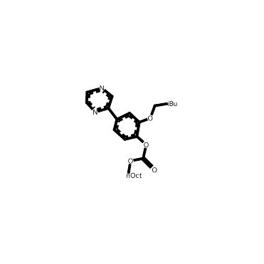 CCCCCCCCOC(=O)Oc1ccc(-c2cnccn2)cc1OCC(C)CC